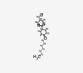 CCCCCCCOc1ccc(-c2ncc(C=O)cn2)cc1